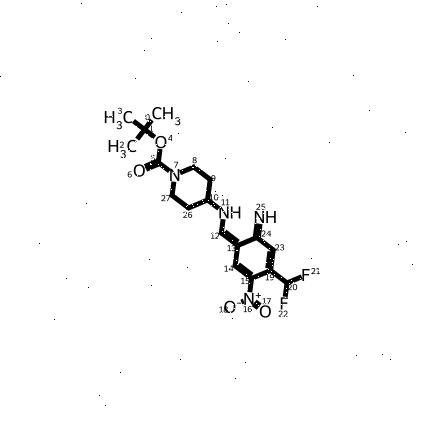 CC(C)(C)OC(=O)N1CCC(N/C=C2/C=C([N+](=O)[O-])C(C(F)F)=CC2=N)CC1